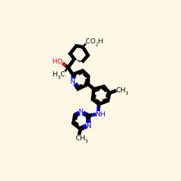 Cc1cc(Nc2nccc(C)n2)cc(-c2ccc([C@](C)(O)[C@H]3CC[C@H](C(=O)O)CC3)nc2)c1